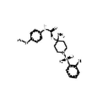 CC(C)Oc1ccc(NC(=O)OC2(N)CCN(S(=O)(=O)c3ccccc3Cl)CC2)cc1